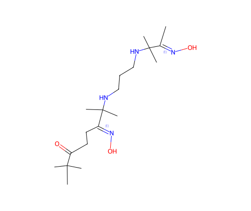 C/C(=N\O)C(C)(C)NCCCNC(C)(C)/C(CCC(=O)C(C)(C)C)=N/O